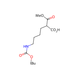 COC(=O)C(CCCCNC(=O)OC(C)(C)C)C(=O)O